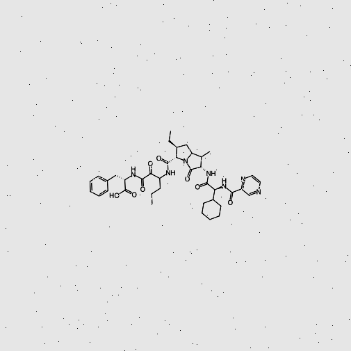 CCCC(NC(=O)[C@@H]1[C@@H](CC)CC2C(C)[C@H](NC(=O)[C@@H](NC(=O)c3cnccn3)C3CCCCC3)C(=O)N21)C(=O)C(=O)N[C@@H](Cc1ccccc1)C(=O)O